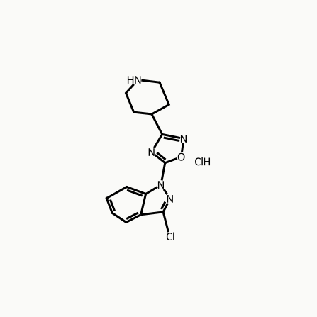 Cl.Clc1nn(-c2nc(C3CCNCC3)no2)c2ccccc12